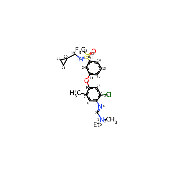 CCN(C)C=Nc1cc(C)c(Oc2cccc(S(=O)(=NCC3CC3)C(F)(F)F)c2)cc1Cl